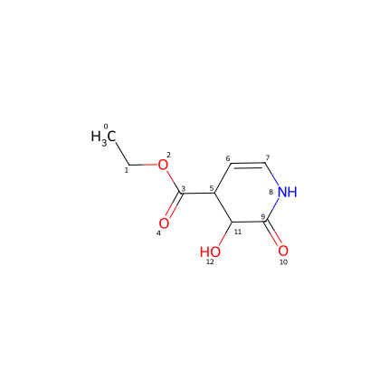 CCOC(=O)C1C=CNC(=O)C1O